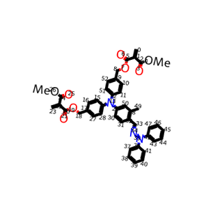 C=C(C(=O)OC)C(=O)OCc1ccc(N(c2ccc(COC(=O)C(=C)C(=O)OC)cc2)c2ccc(C=NN(c3ccccc3)c3ccccc3)c(C)c2)cc1